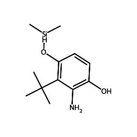 C[SiH](C)Oc1ccc(O)c(N)c1C(C)(C)C